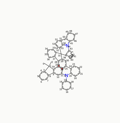 CC1(C)c2ccccc2-c2cc(N(c3ccccc3)c3ccccc3-c3ccc4c(c3)C3(c5ccccc5-4)c4ccccc4-n4c5ccccc5c5cccc3c54)ccc21